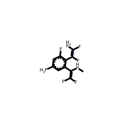 CPC(=C(F)F)c1cc(P)cc(F)c1/C(F)=C(/F)P